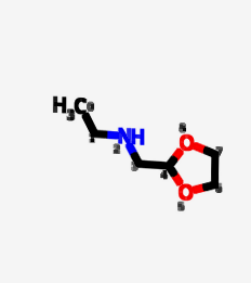 CCNCC1OCCO1